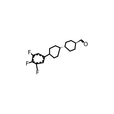 O=C[C@H]1CC[C@H](C2CCC(c3cc(F)c(F)c(F)c3)CC2)CC1